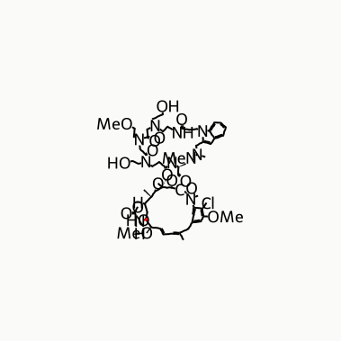 CNN(C)Cc1cc2ccccc2n1CCC(=O)NCC(=O)N(CCO)CC(=O)N(CCOC)CC(=O)N(CCO)CCC(=O)N(C)[C@@H](C)C(=O)O[C@H]1CC(=O)N(C)c2cc(cc(OC)c2Cl)C/C(C)=C/C=C/[C@@H](OC)[C@@]2(O)C[C@H](OC(=O)N2)[C@@H](C)C2O[C@]21C